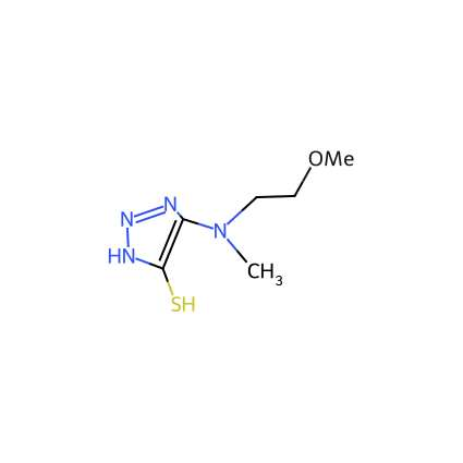 COCCN(C)c1nn[nH]c1S